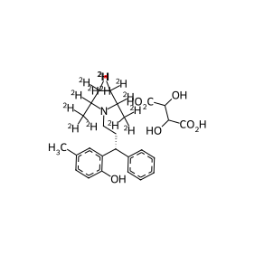 O=C(O)C(O)C(O)C(=O)O.[2H]C([2H])([2H])C([2H])(N(CC[C@H](c1ccccc1)c1cc(C)ccc1O)C([2H])(C([2H])([2H])[2H])C([2H])([2H])[2H])C([2H])([2H])[2H]